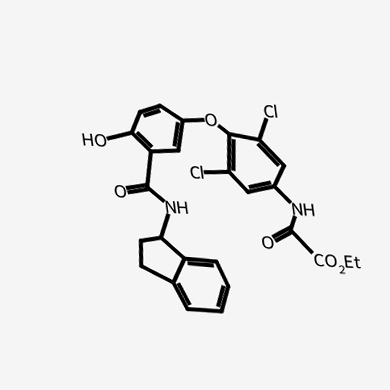 CCOC(=O)C(=O)Nc1cc(Cl)c(Oc2ccc(O)c(C(=O)NC3CCc4ccccc43)c2)c(Cl)c1